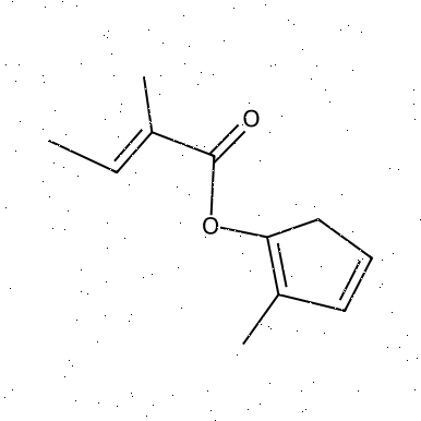 CC=C(C)C(=O)OC1=C(C)C=CC1